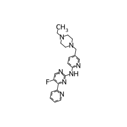 CCN1CCN(Cc2ccc(Nc3ncc(F)c(-c4ccccn4)n3)nc2)CC1